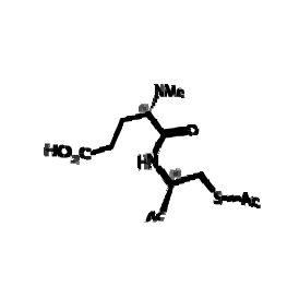 CN[C@@H](CCC(=O)O)C(=O)N[C@@H](CSC(C)=O)C(C)=O